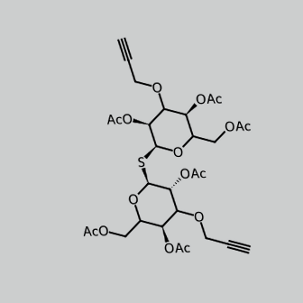 C#CCOC1[C@@H](OC(C)=O)C(COC(C)=O)O[C@@H](S[C@@H]2OC(COC(C)=O)[C@H](OC(C)=O)C(OCC#C)[C@@H]2OC(C)=O)[C@@H]1OC(C)=O